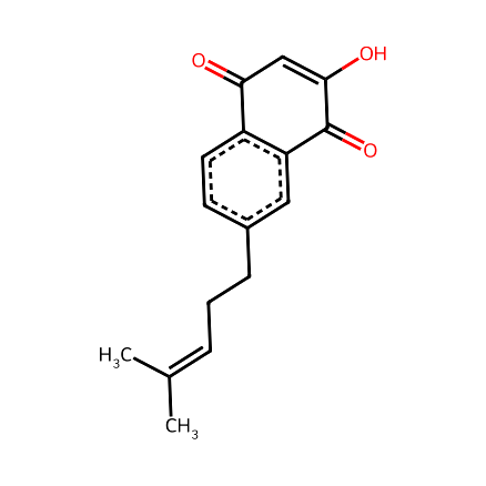 CC(C)=CCCc1ccc2c(c1)C(=O)C(O)=CC2=O